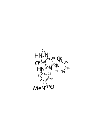 CNC(=O)c1ccc(Nc2nc(N3CCCCC3=O)cc3nc[nH]c(=O)c23)cc1